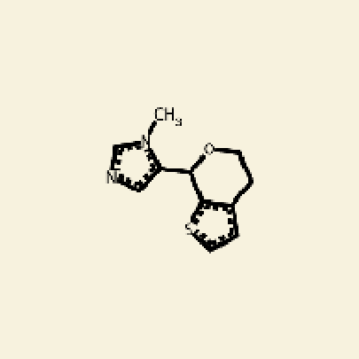 Cn1cncc1C1OCCc2ccsc21